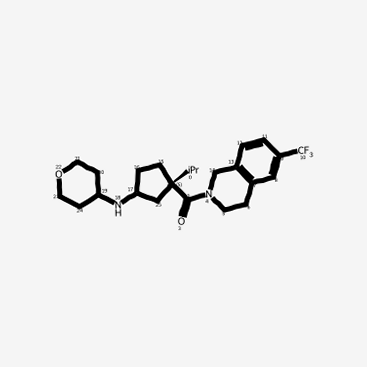 CC(C)[C@]1(C(=O)N2CCc3cc(C(F)(F)F)ccc3C2)CCC(NC2CCOCC2)C1